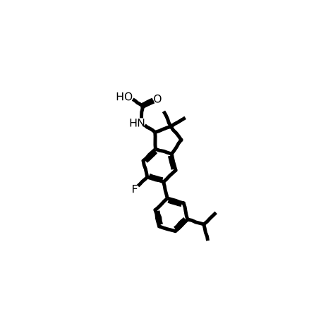 CC(C)c1cccc(-c2cc3c(cc2F)C(NC(=O)O)C(C)(C)C3)c1